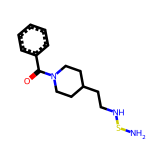 NSNCCC1CCN(C(=O)c2ccccc2)CC1